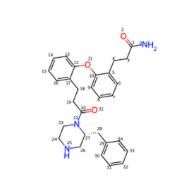 NC(=O)CCc1ccccc1Oc1ccccc1CCC(=O)N1CCNC[C@H]1Cc1ccccc1